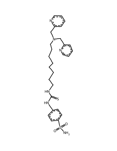 NS(=O)(=O)c1ccc(NC(=S)NCCCCCCCCN(Cc2ccccn2)Cc2ccccn2)cc1